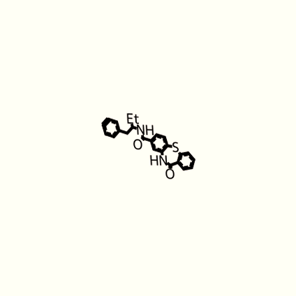 CCC(Cc1cc#ccc1)NC(=O)c1ccc2c(c1)NC(=O)c1ccccc1S2